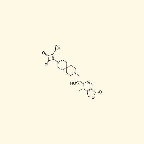 Cc1c([C@@H](O)CN2CCC3(CC2)CCN(c2c(C4CC4)c(=O)c2=O)CC3)ccc2c1COC2=O